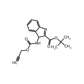 C#CCOC(=O)NC1C(C(=O)OC(C)(C)C)=Nc2ccccc21